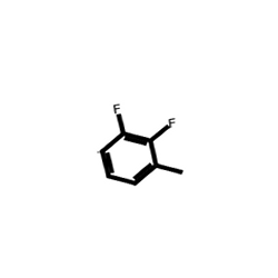 Cc1cc[c]c(F)c1F